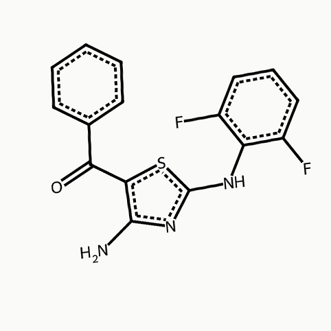 Nc1nc(Nc2c(F)cccc2F)sc1C(=O)c1ccccc1